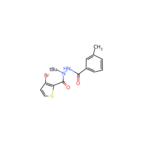 Cc1cccc(C(=O)NN(C(=O)c2sccc2Br)C(C)(C)C)c1